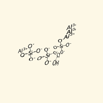 OCl.[Al+3].[Al+3].[Al+3].[Al+3].[O-][Si]([O-])([O-])[O-].[O-][Si]([O-])([O-])[O-].[O-][Si]([O-])([O-])[O-]